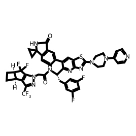 O=C(Cn1nc(C(F)(F)F)c2c1C(F)(F)[C@@H]1CC[C@H]21)N[C@@H](Cc1cc(F)cc(F)c1)c1nc2nc(N3CCN(c4ccncc4)CC3)sc2cc1-c1ccc2c(c1)C(=O)NC21CC1